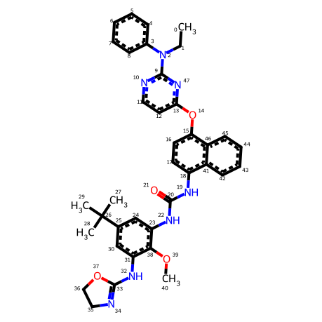 CCN(c1ccccc1)c1nccc(Oc2ccc(NC(=O)Nc3cc(C(C)(C)C)cc(NC4=NCCO4)c3OC)c3ccccc23)n1